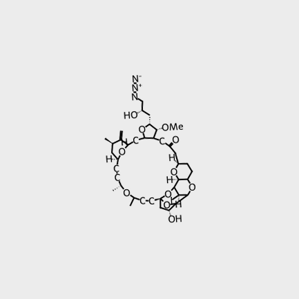 C=C1[C@H](C)C[C@@H]2CC[C@@H](C)OC(C)CC[C@]34C[C@@H](O)C(O3)C3OC5CC[C@H](CC(=O)CC6C(C[C@H]1O2)O[C@H](C[C@H](O)CN=[N+]=[N-])[C@@H]6OC)O[C@@H]5C(O4)[C@@H]3I